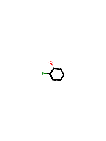 O[C@@H]1CCCC[C@H]1F